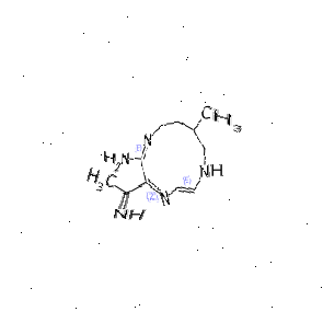 CC(=N)C1=N/C=C/NCC(C)CC/N=C\1N